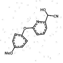 COc1ccc(Oc2cccc(C(O)C#N)n2)cc1